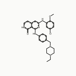 CCN1CCN(Cc2ccc(Nc3nc(Nc4cc(Cl)ccc4OC)cc4cc[nH]c(=O)c34)cc2)CC1